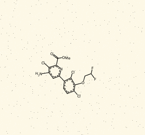 COC(=O)c1nc(-c2ccc(Cl)c(OCC(F)F)c2Cl)cc(N)c1Cl